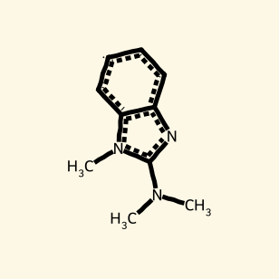 CN(C)c1nc2cc[c]cc2n1C